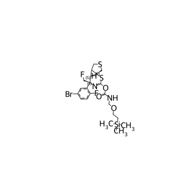 C[Si](C)(C)CCOCNC(=O)OC1=N[C@](CF)(c2cc(Br)ccc2F)[C@@H]2C3CSC[C@]32S1